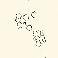 c1ccc(-c2cccc(N(c3ccc(-c4ccc5c(c4)Oc4ccccc4C54c5ccccc5-c5ccccc54)cc3)c3cccc4sc5ccccc5c34)c2)cc1